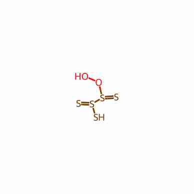 OOS(=S)S(=S)S